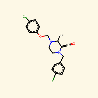 CCC(C)C1C(=C=O)N(Cc2ccc(F)cc2)CCN1COc1ccc(Cl)cc1